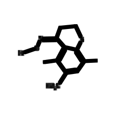 CCO/N=C1/CCSc2c(C)cc(C(=O)O)c(C)c21